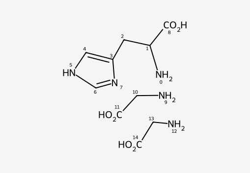 NC(Cc1c[nH]cn1)C(=O)O.NCC(=O)O.NCC(=O)O